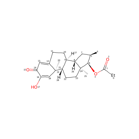 CCC(=O)O[C@@H]1[C@H](C)C[C@H]2[C@@H]3CCC4=CC(=O)C(O)=C[C@]4(C)[C@H]3CC[C@]12C